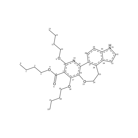 CCCCOC(=O)c1c(OCCCC)nc2c(c1OCCCC)OCCc1c-2ccc2[nH]ccc12